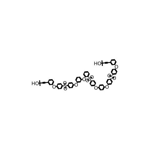 CC(C)(O)C#Cc1cccc(Oc2ccc(S(=O)(=O)c3ccc(Oc4ccc(Oc5ccc(S(=O)(=O)c6ccccc6Oc6cccc(Oc7ccc(S(=O)(=O)c8ccc(Oc9cccc(C#CC(C)(C)O)c9)cc8)cc7)c6)cc5)cc4)cc3)cc2)c1